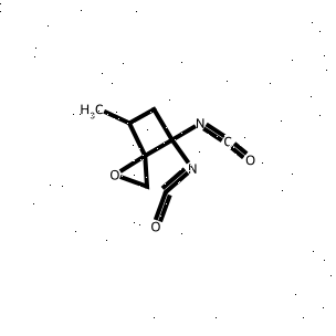 CC1CC(N=C=O)(N=C=O)C12CO2